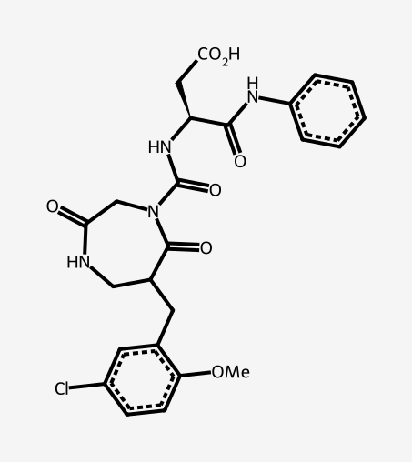 COc1ccc(Cl)cc1CC1CNC(=O)CN(C(=O)N[C@@H](CC(=O)O)C(=O)Nc2ccccc2)C1=O